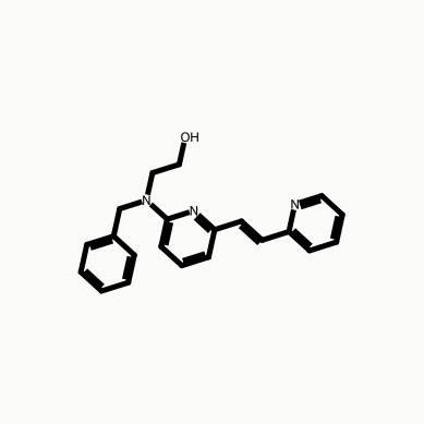 OCCN(Cc1ccccc1)c1cccc(/C=C/c2ccccn2)n1